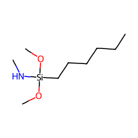 CCCCCC[Si](NC)(OC)OC